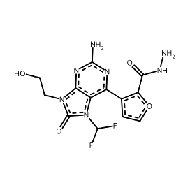 NNC(=O)c1occc1-c1nc(N)nc2c1n(C(F)F)c(=O)n2CCO